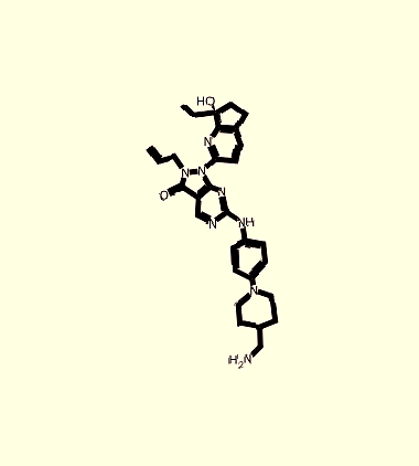 C=CCn1c(=O)c2cnc(Nc3ccc(N4CCC(CN)CC4)cc3)nc2n1-c1ccc2c(n1)[C@@](O)(CC)CC2